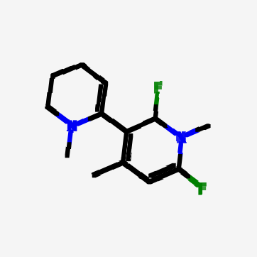 CC1=C(C2=CCCCN2C)C(F)N(C)C(F)=C1